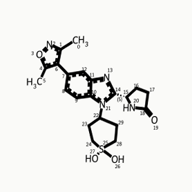 Cc1noc(C)c1-c1ccc2c(c1)nc([C@@H]1CCC(=O)N1)n2C1CCS(O)(O)CC1